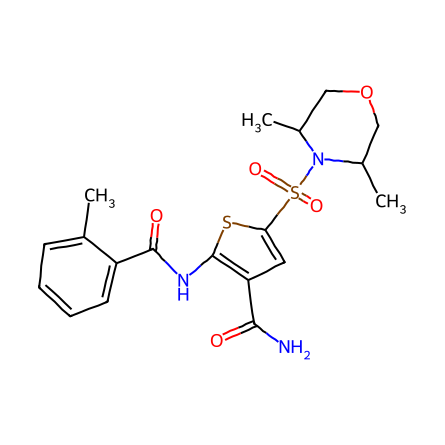 Cc1ccccc1C(=O)Nc1sc(S(=O)(=O)N2C(C)COCC2C)cc1C(N)=O